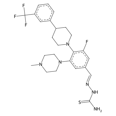 CN1CCN(c2cc(C=NNC(N)=S)cc(F)c2N2CCC(c3cccc(C(F)(F)F)c3)CC2)CC1